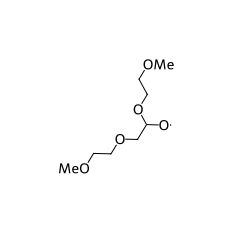 COCCOCC([O])OCCOC